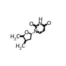 C=C1C[C@@H](n2ccc(=O)[nH]c2=O)OC1=C